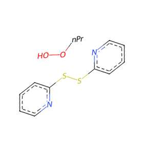 CCCOO.c1ccc(SSc2ccccn2)nc1